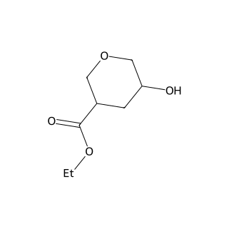 CCOC(=O)C1COCC(O)C1